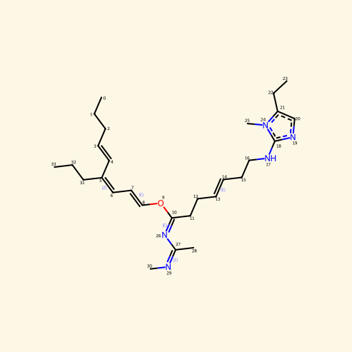 CCCC=C/C(=C\C=C\O/C(CC/C=C/CCNc1ncc(CC)n1C)=N/C(C)=N\C)CCC